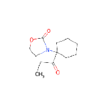 CCC(=O)C1(N2CCOC2=O)CCCCC1